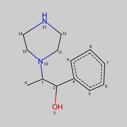 CC(C(O)c1ccccc1)N1CCNCC1